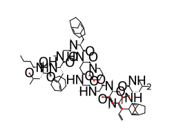 C=C/C=C\C=C\C[C@H](NC(=O)[C@H](C)NC(=O)CC(NC(=O)[C@H](CC1C2=C3CCC(=C1CC2)C3)N(C)C(=O)CN(C)C(=O)[C@H](CC1=C2CCCC(=C1)CC2)NC(=O)[C@H](CC(C)C)N(O)C(=O)CCC)C(=O)N1CCCCC1)C(=O)N(C)[C@@H](CC(C)C)C(=O)N(C)[C@@H](CC1C2=C3CCC(=C1C2)C3)C(=O)N[C@@H](CC(C)C)C(N)=O